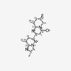 Cc1cn2nc(-c3cc(=O)n4cc(F)cc(C)c4n3)cc(C)c2n1